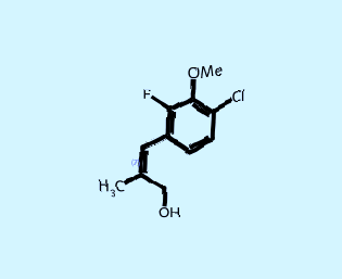 COc1c(Cl)ccc(/C=C(/C)CO)c1F